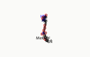 COc1cc(/C=C2\SC(=O)N(CCOCCOCCOCCCc3ccc4c(c3)n(C)c(=O)n4C3CCC(=O)NC3=O)C2=O)ccc1Oc1ccc(C#N)cc1C(F)(F)F